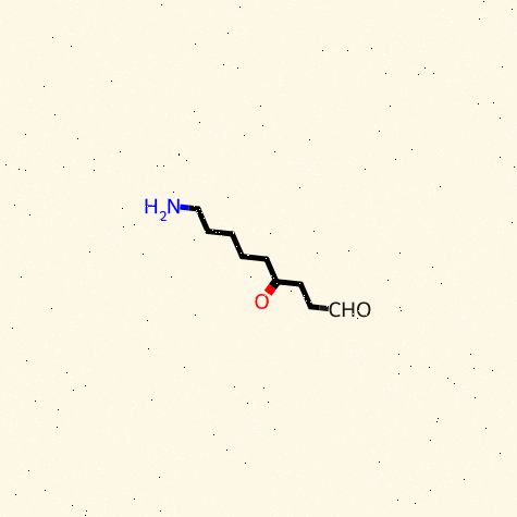 NCCCCCC(=O)CCC=O